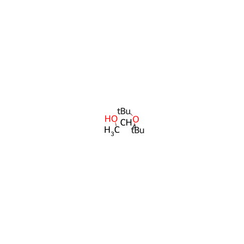 C.CC(C)(C)OC(C)(C)C.CO